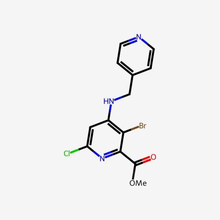 COC(=O)c1nc(Cl)cc(NCc2ccncc2)c1Br